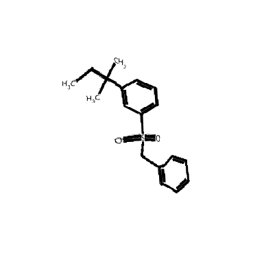 CCC(C)(C)c1cccc(S(=O)(=O)Cc2ccccc2)c1